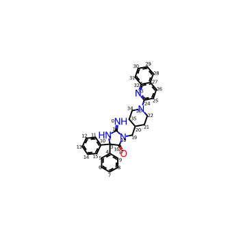 N=C1NC(c2ccccc2)(c2ccccc2)C(=O)N1CC1CCN(c2ccc3ccccc3n2)CC1